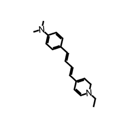 CCN1C=CC(C=CC=Cc2ccc(N(C)C)cc2)=CC1